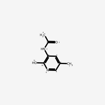 CC(=O)Nc1cc(C)cnc1O